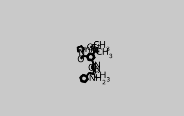 CCC[C@H]1CCCN1C(=O)c1cc(-c2nnc(C(C)(N)Cc3ccccc3)o2)cc(N(C)[S+](C)[O-])c1